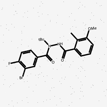 COc1cccc(C(=O)NN(C(=O)c2ccc(F)c(Br)c2)C(C)(C)C)c1C